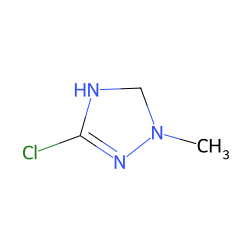 CN1CNC(Cl)=N1